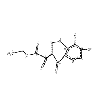 CCOC(=O)C(=O)C1CSc2c(ccc(Cl)c2F)C1=O